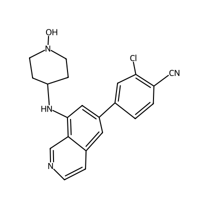 N#Cc1ccc(-c2cc(NC3CCN(O)CC3)c3cnccc3c2)cc1Cl